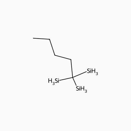 CCCCC([SiH3])([SiH3])[SiH3]